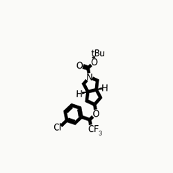 CC(C)(C)OC(=O)N1C[C@H]2CC(OC(c3cccc(Cl)c3)C(F)(F)F)C[C@H]2C1